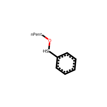 CCCCCO[SiH]c1ccccc1